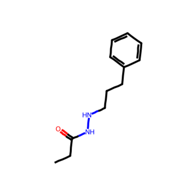 CCC(=O)NNCCCc1ccccc1